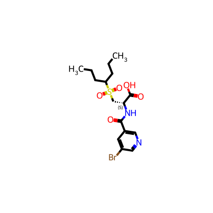 CCCC(CCC)S(=O)(=O)C[C@@H](NC(=O)c1cncc(Br)c1)C(=O)O